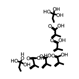 C=C(C)C(=O)O.C=C(C)C(=O)O.C=C(C)C(=O)O.C=C(C)C(=O)O.C=C(C)C(=O)O.CCC(O)(O)O.CCC(O)(O)O